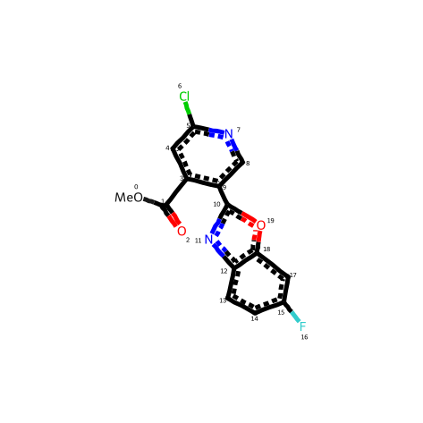 COC(=O)c1cc(Cl)ncc1-c1nc2ccc(F)cc2o1